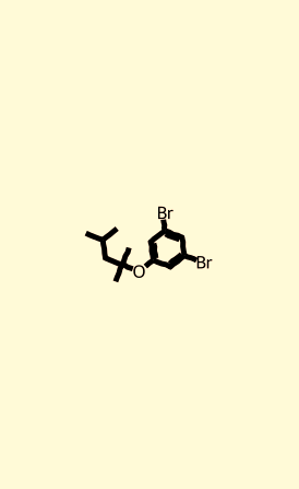 CC(C)CC(C)(C)Oc1cc(Br)cc(Br)c1